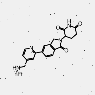 CCCNCc1ccnc(-c2ccc3c(c2)CN(C2CCC(=O)NC2=O)C3=O)c1